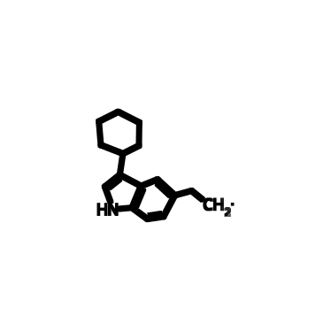 [CH2]Cc1ccc2[nH]cc(C3CCCCC3)c2c1